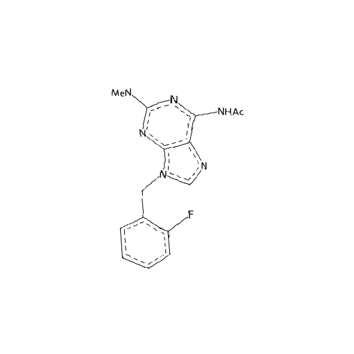 CNc1nc(NC(C)=O)c2ncn(Cc3ccccc3F)c2n1